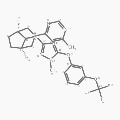 Cc1cc(N2C[C@H]3CC[C@@H](C2)C3Nc2nc(Oc3cccc(OC(F)(F)F)c3)n(C)n2)ncn1